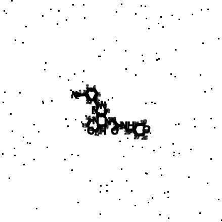 N#Cc1cccc(-c2ncc3c(n2)N2CCOC[C@H]2CN3CC(=O)NCC2CCOCC2)c1